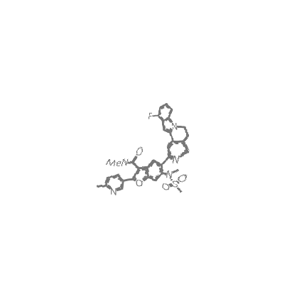 CNC(=O)c1c(-c2ccc(C)nc2)oc2cc(N(C)S(C)(=O)=O)c(-c3cc4c(cn3)CCn3c-4cc4c(F)cccc43)cc12